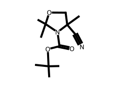 CC(C)(C)OC(=O)N1C(C)(C#N)COC1(C)C